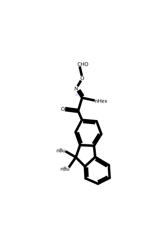 CCCCCC/C(=N\OC=O)C(=O)c1ccc2c(c1)C(CCCC)(CCCC)c1ccccc1-2